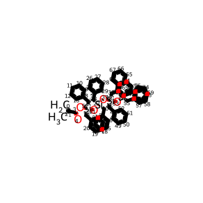 C=C(C)C(=O)O[Si](Cc1ccccc1)(Cc1ccccc1)O[Si](Cc1ccccc1)(Cc1ccccc1)O[Si](Cc1ccccc1)(Cc1ccccc1)O[Si](Cc1ccccc1)(Cc1ccccc1)Cc1ccccc1